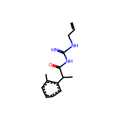 C=CCNC(=N)NC(=O)C(C)c1ccccc1C